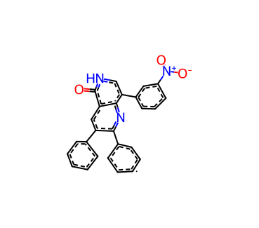 O=c1[nH]cc(-c2cccc([N+](=O)[O-])c2)c2nc(-c3cc[c]cc3)c(-c3ccccc3)cc12